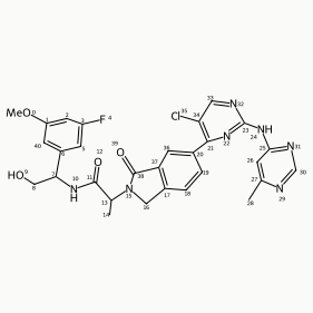 COc1cc(F)cc(C(CO)NC(=O)C(C)N2Cc3ccc(-c4nc(Nc5cc(C)ncn5)ncc4Cl)cc3C2=O)c1